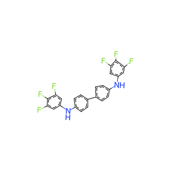 Fc1cc(Nc2ccc(-c3ccc(Nc4cc(F)c(F)c(F)c4)cc3)cc2)cc(F)c1F